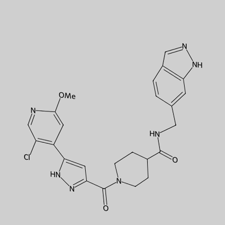 COc1cc(-c2cc(C(=O)N3CCC(C(=O)NCc4ccc5cn[nH]c5c4)CC3)n[nH]2)c(Cl)cn1